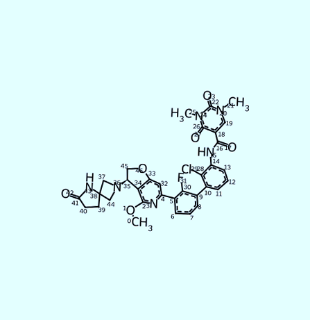 COc1nc(-c2cccc(-c3cccc(NC(=O)c4cn(C)c(=O)n(C)c4=O)c3Cl)c2F)cc2c1[C@@H](N1CC3(CCC(=O)N3)C1)CO2